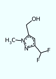 Cn1nc(C(F)F)cc1CO